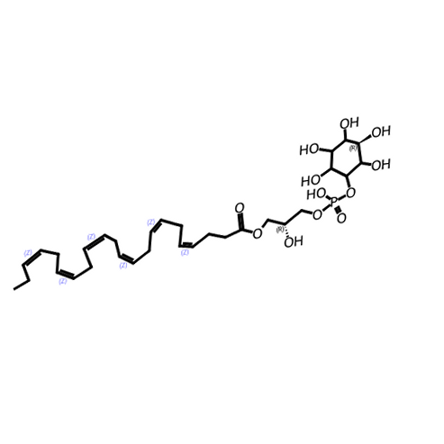 CC/C=C\C/C=C\C/C=C\C/C=C\C/C=C\C/C=C\CCC(=O)OC[C@@H](O)COP(=O)(O)OC1C(O)C(O)C(O)[C@@H](O)C1O